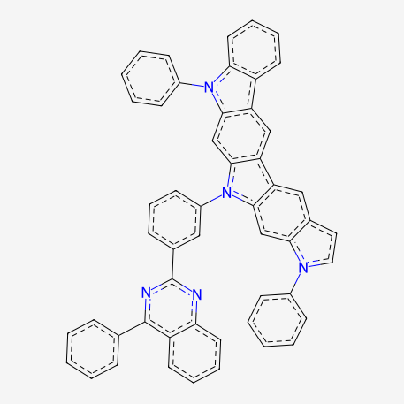 c1ccc(-c2nc(-c3cccc(-n4c5cc6c(ccn6-c6ccccc6)cc5c5cc6c7ccccc7n(-c7ccccc7)c6cc54)c3)nc3ccccc23)cc1